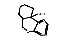 CCOC(=O)C12CCCCC1COc1ccccc12